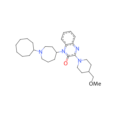 COCC1CCN(c2nc3ccccc3n(C3CCCN(C4CCCCCCC4)CC3)c2=O)CC1